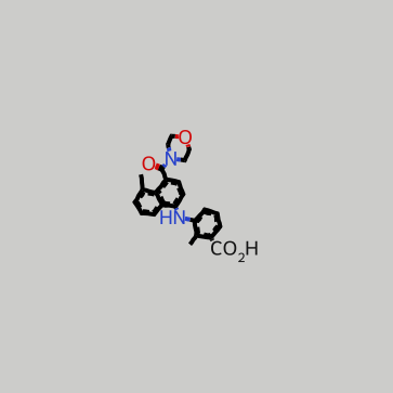 Cc1c(Nc2ccc(C(=O)N3CCOCC3)c3c(C)cccc23)cccc1C(=O)O